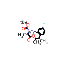 Cc1cc(F)ccc1[C@H](C)[C@@H](C)OC(=O)[C@@H](C)NC(=O)OC(C)(C)C